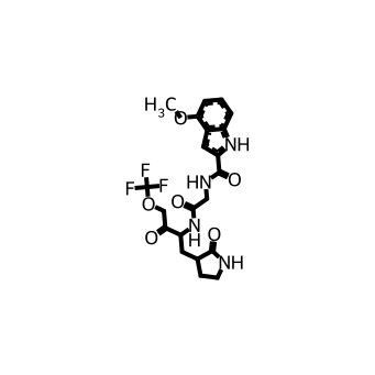 COc1cccc2[nH]c(C(=O)NCC(=O)NC(CC3CCNC3=O)C(=O)COC(F)(F)F)cc12